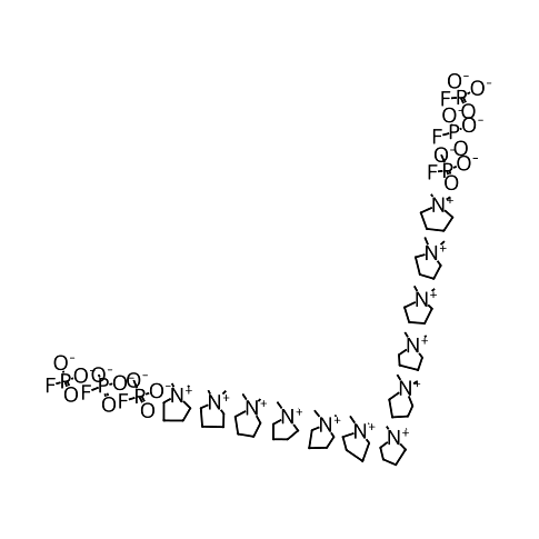 C[N+]1(C)CCCC1.C[N+]1(C)CCCC1.C[N+]1(C)CCCC1.C[N+]1(C)CCCC1.C[N+]1(C)CCCC1.C[N+]1(C)CCCC1.C[N+]1(C)CCCC1.C[N+]1(C)CCCC1.C[N+]1(C)CCCC1.C[N+]1(C)CCCC1.C[N+]1(C)CCCC1.C[N+]1(C)CCCC1.O=P([O-])([O-])F.O=P([O-])([O-])F.O=P([O-])([O-])F.O=P([O-])([O-])F.O=P([O-])([O-])F.O=P([O-])([O-])F